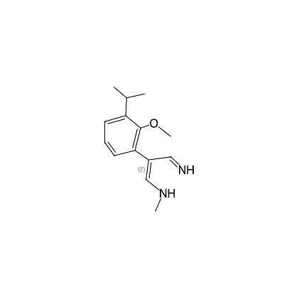 CN/C=C(\C=N)c1cccc(C(C)C)c1OC